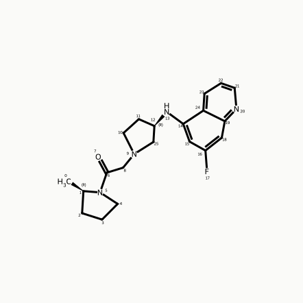 C[C@@H]1CCCN1C(=O)CN1CC[C@@H](Nc2cc(F)cc3ncccc23)C1